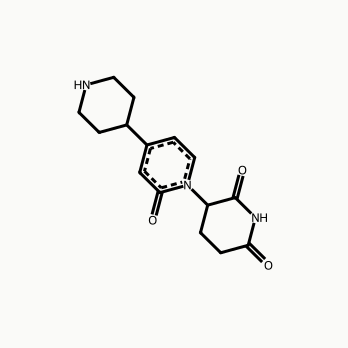 O=C1CCC(n2ccc(C3CCNCC3)cc2=O)C(=O)N1